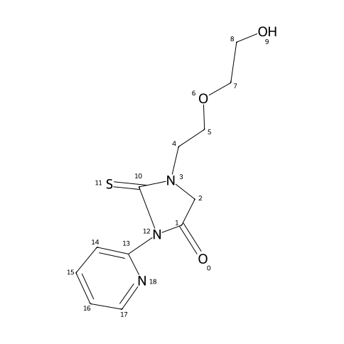 O=C1CN(CCOCCO)C(=S)N1c1ccccn1